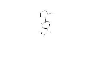 OC1CCCC1c1ncc2[nH]nnc2n1